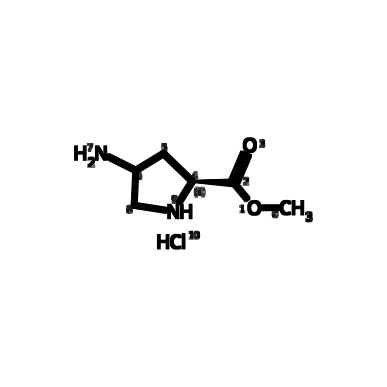 COC(=O)[C@@H]1CC(N)CN1.Cl